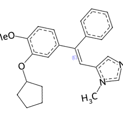 COc1ccc(/C(=C/c2cncn2C)c2ccccc2)cc1OC1CCCC1